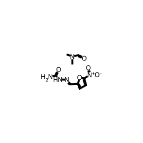 CN(C)C=O.NC(=O)N/N=C/c1ccc([N+](=O)[O-])o1